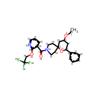 CCOC1CC(c2ccccc2)OC2(CCN(C(=O)c3cccnc3OCC(F)(F)F)CC2)C1